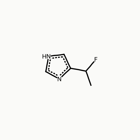 CC(F)c1c[nH]cn1